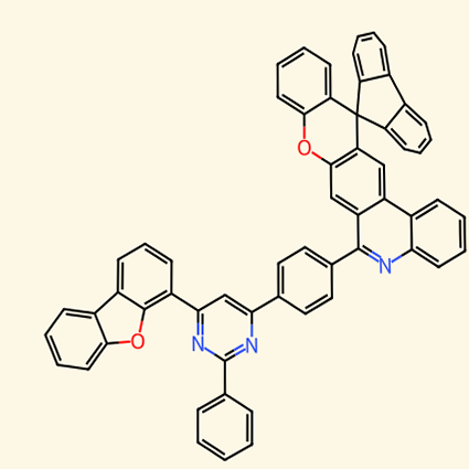 c1ccc(-c2nc(-c3ccc(-c4nc5ccccc5c5cc6c(cc45)Oc4ccccc4C64c5ccccc5-c5ccccc54)cc3)cc(-c3cccc4c3oc3ccccc34)n2)cc1